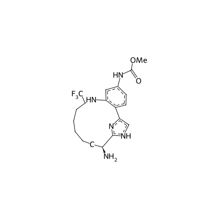 COC(=O)Nc1ccc2c(c1)NC(C(F)(F)F)CCCCC[C@H](N)c1nc-2c[nH]1